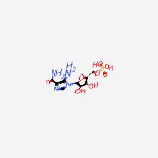 NC(=O)c1ncn(C2O[C@H](COP(=O)(O)O)[C@@H](O)[C@H]2O)c1N